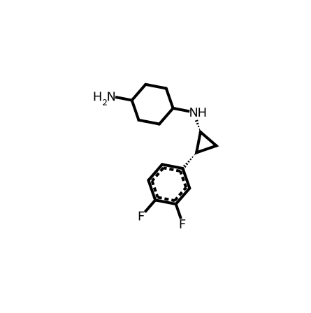 NC1CCC(N[C@@H]2C[C@@H]2c2ccc(F)c(F)c2)CC1